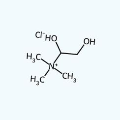 C[N+](C)(C)C(O)CO.[Cl-]